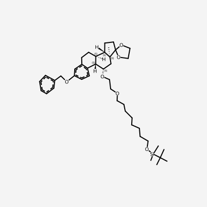 CC(C)(C)[Si](C)(C)OCCCCCCCCOCCO[C@H]1C[C@@]2(C)[C@@H](CCC23OCCO3)[C@@H]2CCc3cc(OCc4ccccc4)ccc3[C@H]21